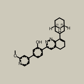 COc1cc(-c2ccc(-c3cc4c(nn3)C(C3C[C@H]5CCC[C@@H](C3)N5)=CCC4)c(O)c2)ccn1